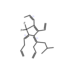 C=CC/C=C1\C(=C(/CC=C)CC(C)C)C(C=C)=C(/C=C\C)C1(F)F